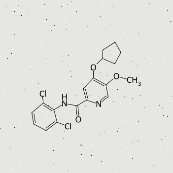 COc1cnc(C(=O)Nc2c(Cl)cccc2Cl)cc1OC1CCCC1